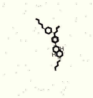 C=CCC(c1ccc([C@@H]2CC[C@H]3C[C@@H](CCCCC)CC[C@@H]3C2)cc1)[C@H]1CC[C@H](CCCCC)CC1